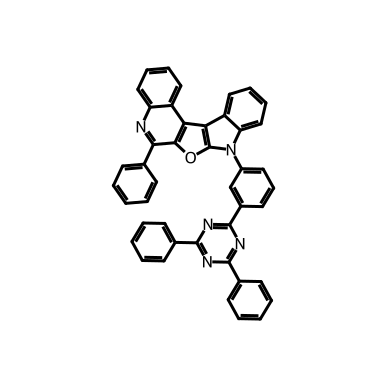 c1ccc(-c2nc(-c3ccccc3)nc(-c3cccc(-n4c5ccccc5c5c6c(oc54)c(-c4ccccc4)nc4ccccc46)c3)n2)cc1